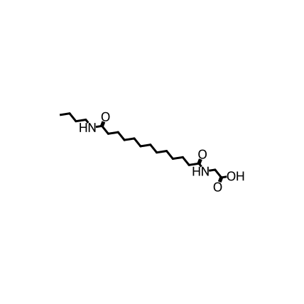 CCCCNC(=O)CCCCCCCCCCCC(=O)NCC(=O)O